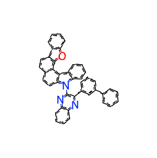 c1ccc(-c2cccc(-c3nc4ccccc4nc3-n3c4ccccc4c4c5c(ccc6c7ccccc7oc65)ccc43)c2)cc1